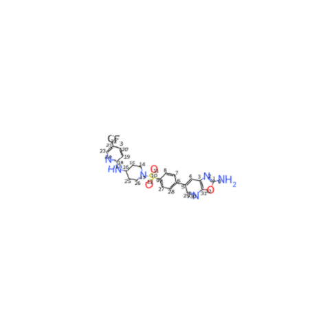 Nc1nc2cc(-c3ccc(S(=O)(=O)N4CCC(Nc5ccc(C(F)(F)F)cn5)CC4)cc3)cnc2o1